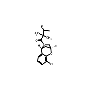 CC(C)(C(=O)N1C[C@@H]2C[C@H]1c1cccc(Cl)c1O2)C(F)F